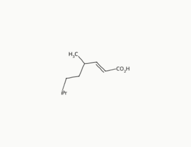 CC(C)CCC(C)/C=C/C(=O)O